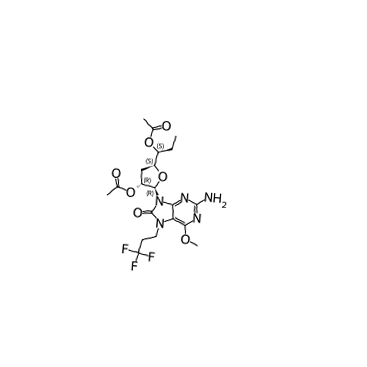 CC[C@H](OC(C)=O)[C@@H]1C[C@@H](OC(C)=O)[C@H](n2c(=O)n(CCC(F)(F)F)c3c(OC)nc(N)nc32)O1